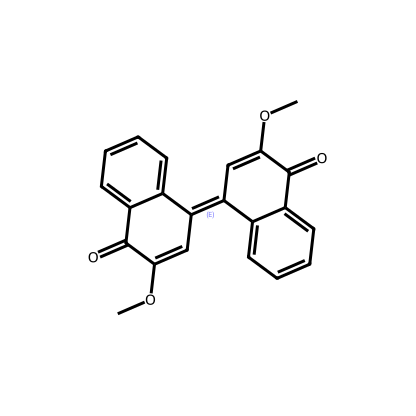 COC1=C/C(=C2/C=C(OC)C(=O)c3ccccc32)c2ccccc2C1=O